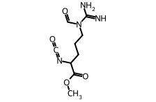 COC(=O)C(CCCN(C=O)C(=N)N)N=C=O